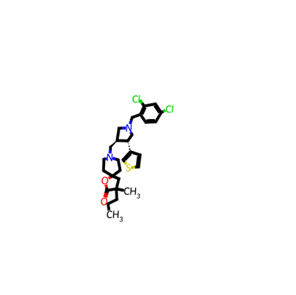 CCCC1(C)CC2(CCN(C[C@H]3CN(Cc4ccc(Cl)cc4Cl)C[C@@H]3c3ccsc3)CC2)OC1=O